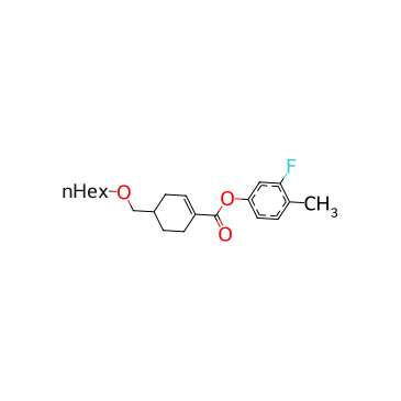 [CH2+][CH-]CCCCOCC1CC=C(C(=O)Oc2ccc(C)c(F)c2)CC1